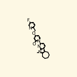 Cn1c2c(c3ccc(-n4ccc(OCc5ccc(F)cn5)cc4=O)nc31)CCCCC2